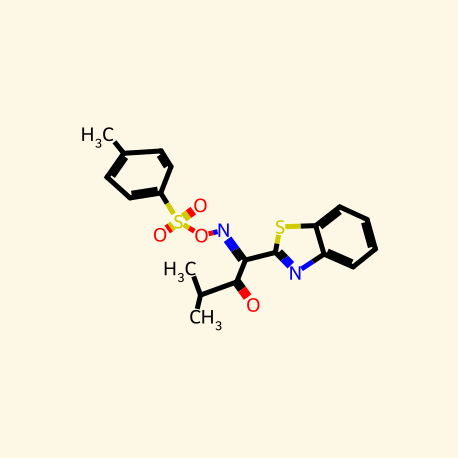 Cc1ccc(S(=O)(=O)O/N=C(\C(=O)C(C)C)c2nc3ccccc3s2)cc1